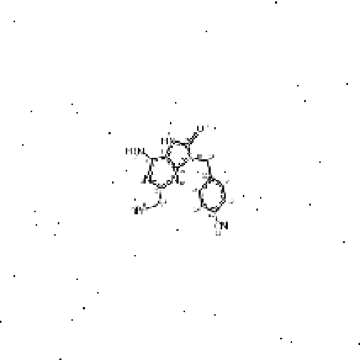 CCCSc1nc(N)c2[nH]c(=O)n(Cc3ccc(C#N)cc3)c2n1